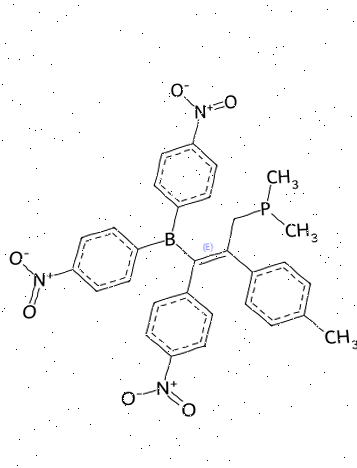 Cc1ccc(/C(CP(C)C)=C(/B(c2ccc([N+](=O)[O-])cc2)c2ccc([N+](=O)[O-])cc2)c2ccc([N+](=O)[O-])cc2)cc1